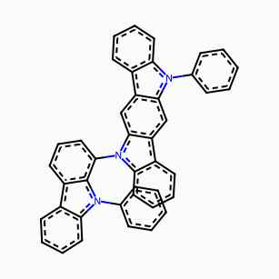 c1ccc(-n2c3ccccc3c3cc4c(cc32)c2ccccc2n4-c2cccc3c4ccccc4n(-c4ccccc4)c23)cc1